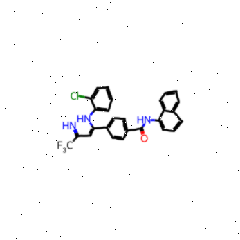 N=C(/C=C(\Nc1ccccc1Cl)c1ccc(C(=O)Nc2cccc3ccccc23)cc1)C(F)(F)F